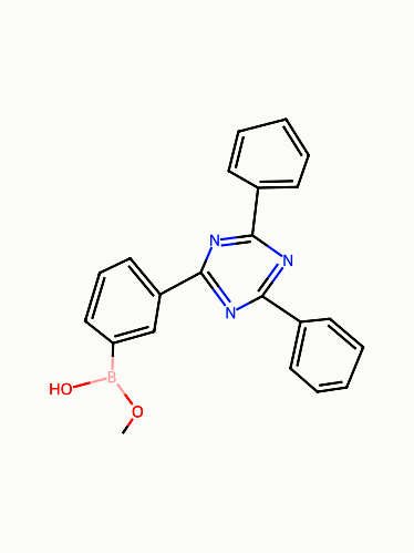 COB(O)c1cccc(-c2nc(-c3ccccc3)nc(-c3ccccc3)n2)c1